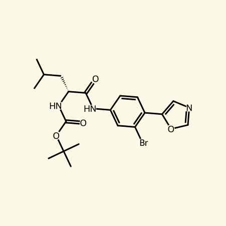 CC(C)C[C@@H](NC(=O)OC(C)(C)C)C(=O)Nc1ccc(-c2cnco2)c(Br)c1